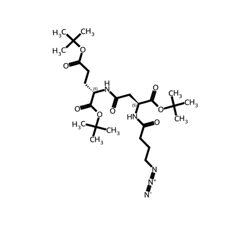 CC(C)(C)OC(=O)CC[C@H](NC(=O)C[C@H](NC(=O)CCCN=[N+]=[N-])C(=O)OC(C)(C)C)C(=O)OC(C)(C)C